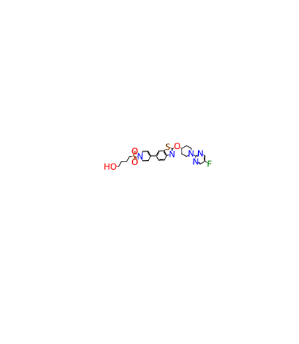 O=S(=O)(CCCCO)N1CC=C(c2ccc3nc(OC4CCN(c5ncc(F)cn5)CC4)sc3c2)CC1